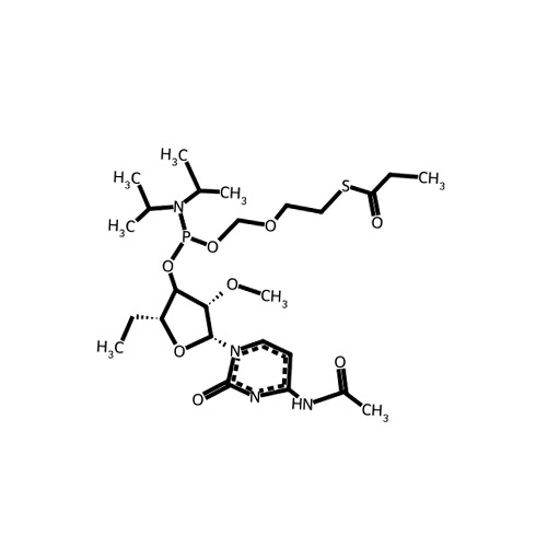 CCC(=O)SCCOCOP(OC1[C@@H](CC)O[C@@H](n2ccc(NC(C)=O)nc2=O)[C@H]1OC)N(C(C)C)C(C)C